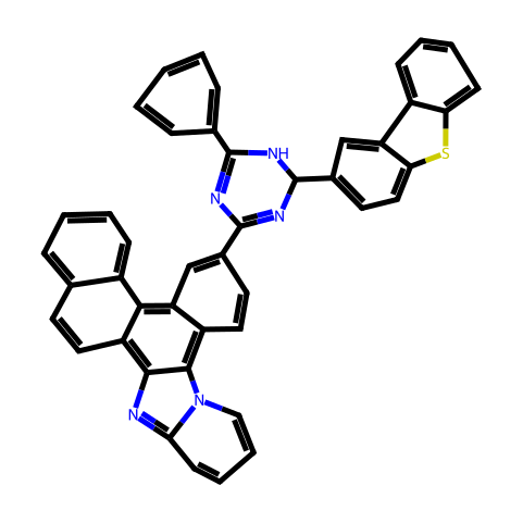 c1ccc(C2=NC(c3ccc4c(c3)c3c5ccccc5ccc3c3nc5ccccn5c43)=NC(c3ccc4sc5ccccc5c4c3)N2)cc1